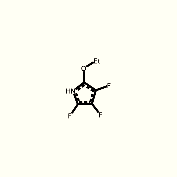 CCOc1[nH]c(F)c(F)c1F